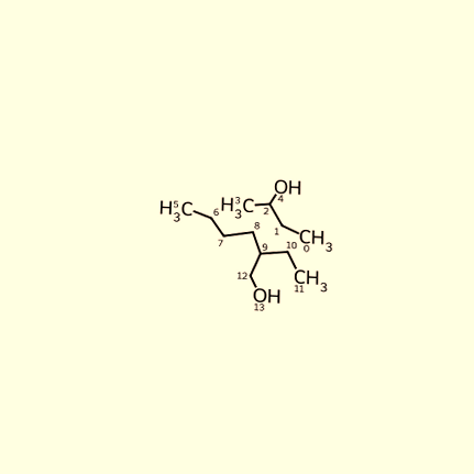 CCC(C)O.CCCCC(CC)CO